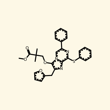 COC(=O)C(C)(C)COc1c(Cc2ccco2)nc2c(Sc3ccccc3)nc(-c3ccccc3)cn12